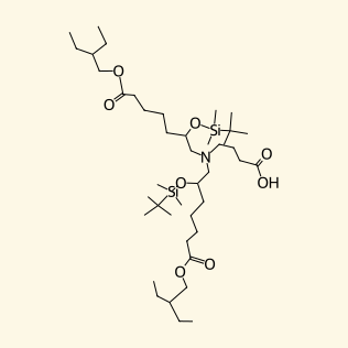 CCC(CC)COC(=O)CCCCC(CN(CCCC(=O)O)CC(CCCCC(=O)OCC(CC)CC)O[Si](C)(C)C(C)(C)C)O[Si](C)(C)C(C)(C)C